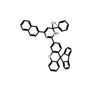 CC1(c2ccccc2)C=C(c2ccc3ccccc3c2)N=C(c2ccc3c(c2)Oc2ccccc2C32c3ccccc3-c3ccccc32)N1